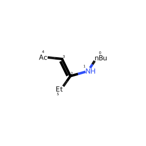 CCCCNC(=CC(C)=O)CC